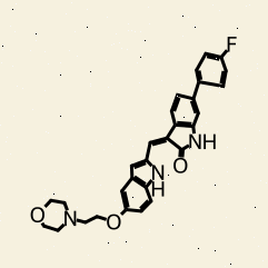 O=C1Nc2cc(-c3ccc(F)cc3)ccc2C1=Cc1cc2cc(OCCN3CCOCC3)ccc2[nH]1